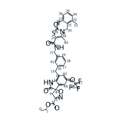 CCOC(=O)C1=NOC2(C1)C(=O)Nc1c(Cc3cccc(CNC(=O)c4sc(=O)n(Cc5c(C)cccc5C)c4C)c3)cc(OC(F)(F)F)cc12